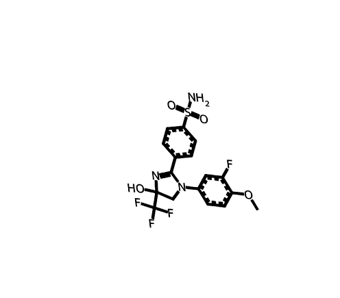 COc1ccc(N2CC(O)(C(F)(F)F)N=C2c2ccc(S(N)(=O)=O)cc2)cc1F